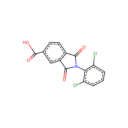 O=C(O)c1ccc2c(c1)C(=O)N(c1c(Cl)cccc1Cl)C2=O